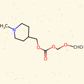 CN1CCC(COC(=O)OCO[C]=O)CC1